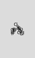 Cc1cc(Cl)ccc1-n1nc(C(=O)OCC(Cl)(Cl)Cl)c(C)c1-c1ccc(OS(=O)(=O)CCC(F)(F)F)cc1